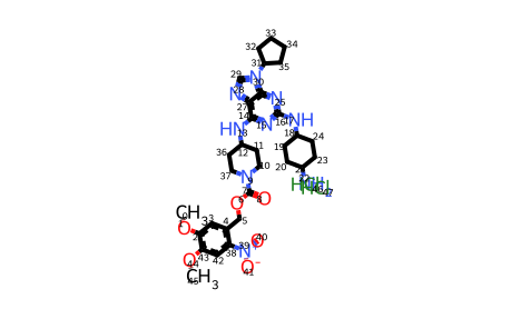 COc1cc(COC(=O)N2CCC(Nc3nc(NC4CCC(N)CC4)nc4c3ncn4C3CCCC3)CC2)c([N+](=O)[O-])cc1OC.Cl.Cl